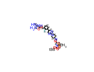 CC(C)(C)OC(=O)N(CCON=C1CCN(c2ncc(-c3cccc(COC(=O)NC(=N)N)c3F)cn2)CC1)S(C)(=O)=O